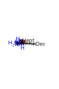 CCCCCCCCCCCCCCCCCCCCCC(=O)N[C@@H](CCCNC(=N)N)C(=O)NCCCCCCC